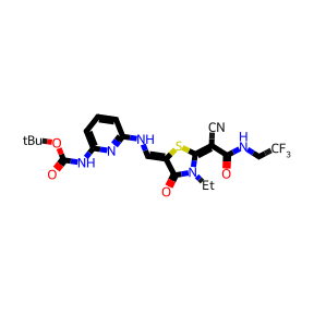 CCn1c(=C(C#N)C(=O)NCC(F)(F)F)sc(=CNc2cccc(NC(=O)OC(C)(C)C)n2)c1=O